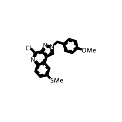 COc1ccc(Cn2cc3c(n2)c(Cl)nc2ccc(SC)cc23)cc1